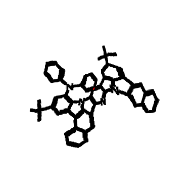 CC(C)(C)c1cc(N(c2ccccc2)c2ccccc2)c2c(c1)c1c3ccccc3cc3c4nc5c(cc4n2c31)c1cc(C(C)(C)C)cc2c3cc4ccccc4cc3n5c21